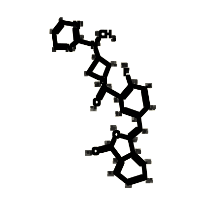 CN(c1ncccn1)C1CN(C(=O)c2cc(C=C3OC(=O)c4ccccc43)ccc2F)C1